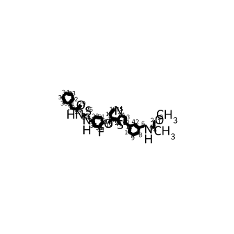 COC[C@H](C)NCc1cccc(-c2cc3nccc(Oc4ccc(NC(=S)NC(=O)Cc5ccccc5)cc4F)c3s2)c1